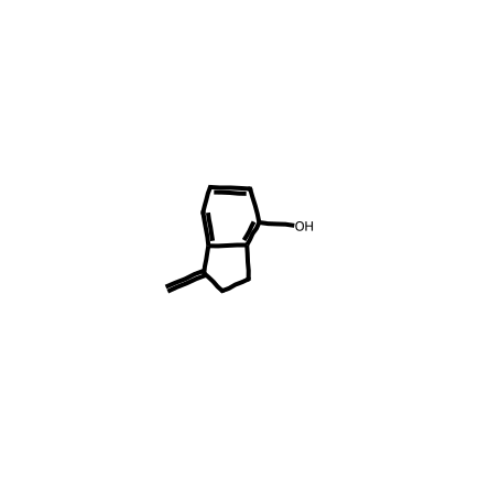 C=C1CCc2c(O)cccc21